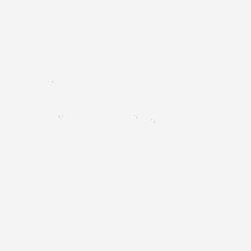 COc1ccc(-c2nn(C(C)C(=O)c3ccccc3)c(=O)c3ccccc23)cc1OC